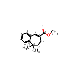 COC(=O)C1=Cc2ccccc2C(C)(C)CC1